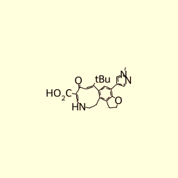 Cn1cc(-c2cc3c(c4c2OCC4)CCN/C=C(/C(=O)O)C(=O)/C=C/3C(C)(C)C)cn1